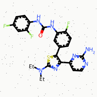 CCN(CC)c1nc(-c2ccnc(N)n2)c(-c2ccc(F)c(NC(=O)Nc3ccc(F)cc3F)c2)s1